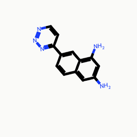 Nc1cc(N)c2cc(-c3ccnnn3)ccc2c1